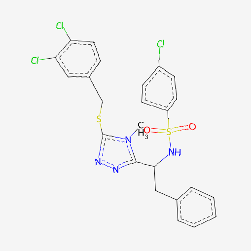 Cn1c(SCc2ccc(Cl)c(Cl)c2)nnc1C(Cc1ccccc1)NS(=O)(=O)c1ccc(Cl)cc1